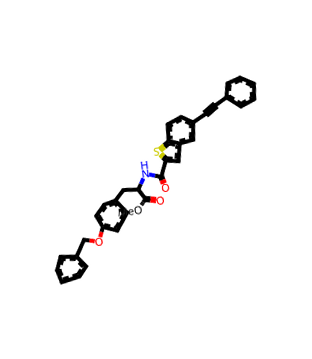 COC(=O)C(Cc1ccc(OCc2ccccc2)cc1)NC(=O)c1cc2cc(C#Cc3ccccc3)ccc2s1